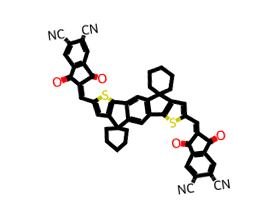 N#Cc1cc2c(cc1C#N)C(=O)C(=Cc1cc3c(s1)-c1cc4c(cc1C31CCCCC1)-c1sc(C=C3C(=O)c5cc(C#N)c(C#N)cc5C3=O)cc1C41CCCCC1)C2=O